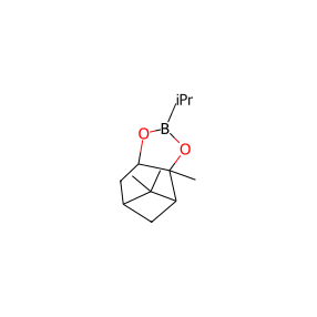 CC(C)B1OC2CC3CC(C3(C)C)C2(C)O1